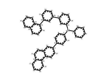 c1ccc(N(c2ccc(-c3ccc4c(ccc5ccccc54)c3)cc2)c2cccc(-c3cccc(-c4cccc5ccccc45)c3)c2)cc1